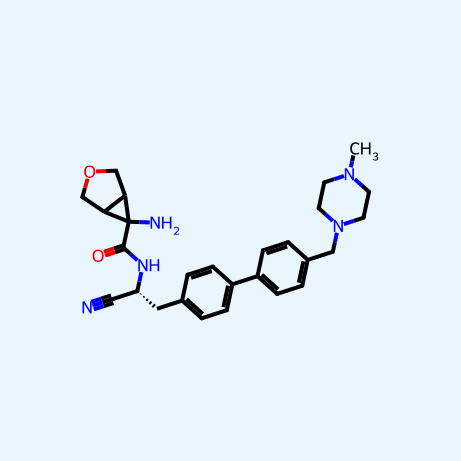 CN1CCN(Cc2ccc(-c3ccc(C[C@H](C#N)NC(=O)C4(N)C5COCC54)cc3)cc2)CC1